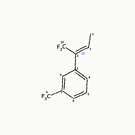 C/C=C(/c1cccc(C(F)(F)F)c1)C(F)(F)F